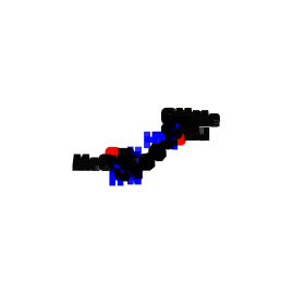 CC[C@H](C)C(NC(=O)OC)C(=O)N1C[C@@H](COC)C[C@H]1c1ncc(-c2ccc(-c3ccc(-c4cnc([C@@H]5CC[C@H](C)N5C(=O)[C@@H](NC(=O)OC)C(C)C)[nH]4)cc3)cc2)[nH]1